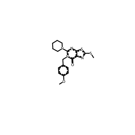 COc1ccc(Cn2c(N3CCCCC3)nc3sc(SC)nc3c2=O)cc1